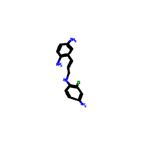 Nc1ccc(NCC=Cc2cc(N)ccc2N)c(Cl)c1